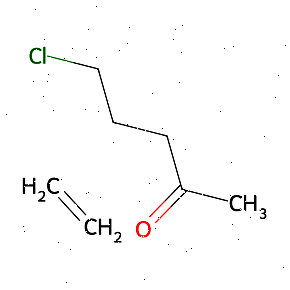 C=C.CC(=O)CCCCl